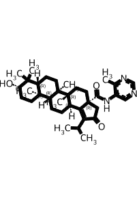 Cc1ncncc1NC(=O)[C@@]12CC[C@]3(C)[C@H](CC[C@@H]4[C@@]5(C)CC[C@H](O)C(C)(C)[C@@H]5CC[C@]43C)C1=C(C(C)C)C(=O)C2